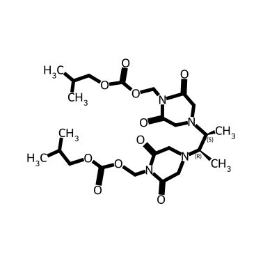 CC(C)COC(=O)OCN1C(=O)CN([C@H](C)[C@H](C)N2CC(=O)N(COC(=O)OCC(C)C)C(=O)C2)CC1=O